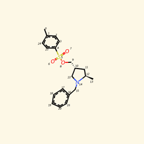 Cc1ccc(S(=O)(=O)OC[C@@H]2C[C@@H](C)N(Cc3ccccc3)C2)cc1